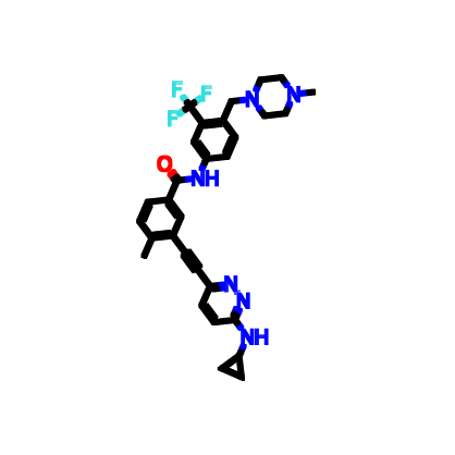 Cc1ccc(C(=O)Nc2ccc(CN3CCN(C)CC3)c(C(F)(F)F)c2)cc1C#Cc1ccc(NC2CC2)nn1